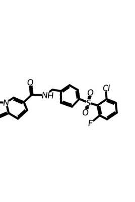 O=C(NCc1ccc(S(=O)(=O)c2c(F)cccc2Cl)cc1)c1ccc2nccn2c1